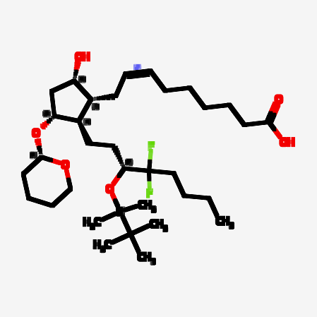 CCCCC(F)(F)[C@@H](CC[C@@H]1[C@@H](C/C=C\CCCCCC(=O)O)[C@@H](O)C[C@H]1O[C@H]1CCCCO1)O[Si](C)(C)C(C)(C)C